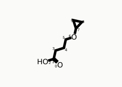 O=C(O)CCCOC1CC1